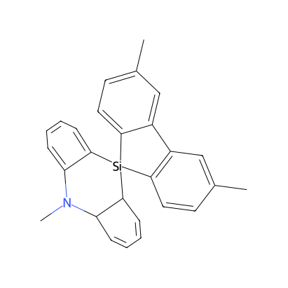 Cc1ccc2c(c1)-c1cc(C)ccc1[Si]21c2ccccc2N(C)C2C=CC=CC21